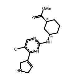 COC(=O)[C@H]1CCC[C@@H](Nc2ncc(Cl)c(C3=CCNC3)n2)C1